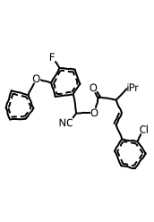 CC(C)C(C=Cc1ccccc1Cl)C(=O)OC(C#N)c1ccc(F)c(Oc2ccccc2)c1